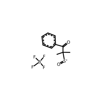 CC(C)([S+]=O)C(=O)c1ccccc1.F[B-](F)(F)F